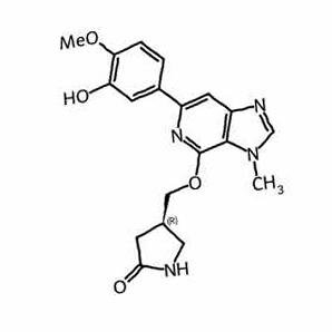 COc1ccc(-c2cc3ncn(C)c3c(OC[C@H]3CNC(=O)C3)n2)cc1O